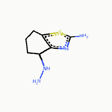 NNC1CCCc2sc(N)nc21